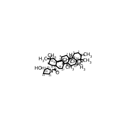 C[C@H]1CC[C@]2(C)[C@H]3CCC4=C5CC(C)(C)CC[C@]5(C(=O)N5CC[C@H](O)C5)CC[C@@]4(C)[C@]3(C)CC[C@H]2C1(C)C